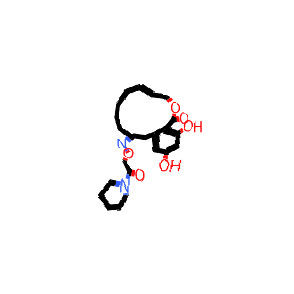 O=C1OC/C=C/CCCC/C(=N/OCC(=O)N2CCCCC2)Cc2cc(O)cc(O)c21